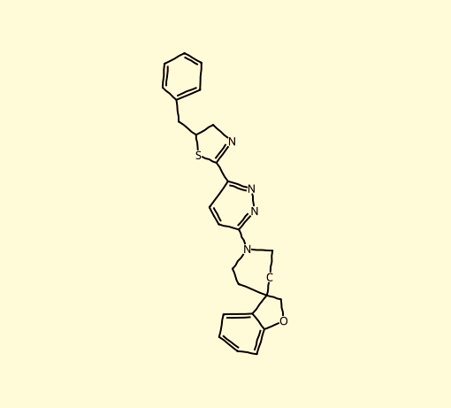 c1ccc(CC2CN=C(c3ccc(N4CCC5(CC4)COc4ccccc45)nn3)S2)cc1